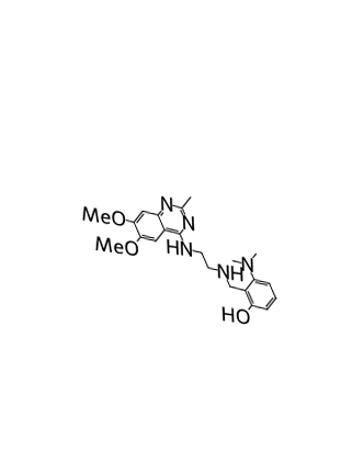 COc1cc2nc(C)nc(NCCNCc3c(O)cccc3N(C)C)c2cc1OC